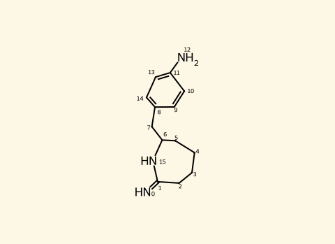 N=C1CCCCC(Cc2ccc(N)cc2)N1